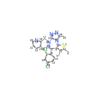 Cc1sc2c(c1C)C(c1ccc(Cl)cc1)=NN(Cc1ncccc1Cl)c1nnc(C)n1-2